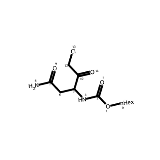 CCCCCCOC(=O)NC(CC(N)=O)C(=O)CCl